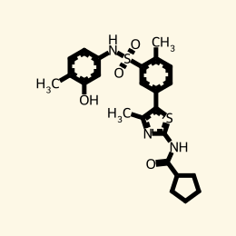 Cc1ccc(NS(=O)(=O)c2cc(-c3sc(NC(=O)C4CCCC4)nc3C)ccc2C)cc1O